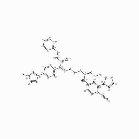 CCC[C@H](CCC/C=[N+](\C(=O)NCc1ccccc1)c1ccc(-c2cnn(C)c2)cn1)Nc1ncc(C#N)c(-n2cccn2)n1